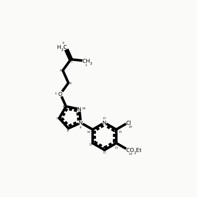 C=C(C)CCOc1ccn(-c2ccc(C(=O)OCC)c(Cl)n2)n1